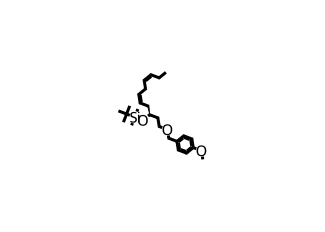 CC/C=C\C/C=C\C[C@@H](CCOCc1ccc(OC)cc1)O[Si](C)(C)C(C)(C)C